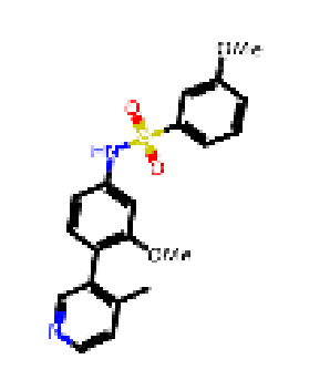 COc1cccc(S(=O)(=O)Nc2ccc(-c3cnccc3C)c(OC)c2)c1